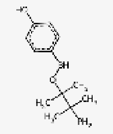 CC(C)(P)C(C)(C)OBc1ccc(O)cc1